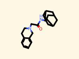 O=C(CN1CCc2ccccc2C1)NC12CC3CC(CC(C3)C1)C2